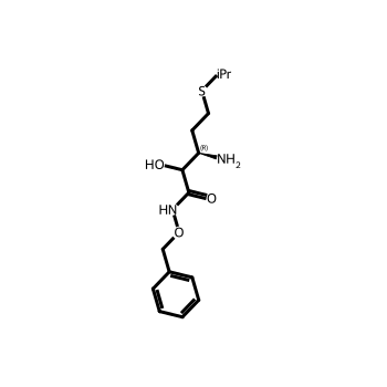 CC(C)SCC[C@@H](N)C(O)C(=O)NOCc1ccccc1